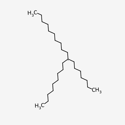 CCCCCCCCCC[C](CCCCCCC)CCCCCCCCC